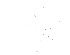 [CH3][La].[Fe].[Zn]